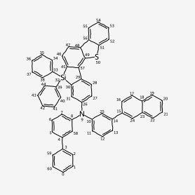 c1ccc(-c2cccc(N(c3cccc(-c4ccc5ccccc5c4)c3)c3ccc4c(c3)[Si](c3ccccc3)(c3ccccc3)c3ccc5c(sc6ccccc65)c3-4)c2)cc1